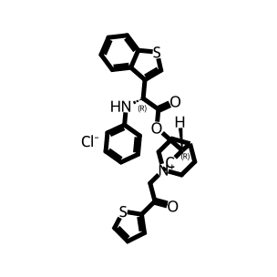 O=C(C[N+]12CCC(CC1)[C@@H](OC(=O)[C@H](Nc1ccccc1)c1csc3ccccc13)C2)c1cccs1.[Cl-]